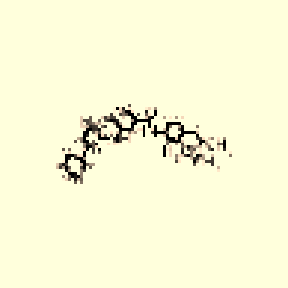 Cc1ncc(C(=O)Nc2ccc(CC(C)N(C)C)cc2)cc1Nc1nccc(-c2cccnc2)n1